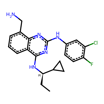 CC[C@@H](Nc1nc(Nc2ccc(F)c(Cl)c2)nc2c(CN)cccc12)C1CC1